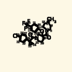 CN1CCN(C(=O)C2(Oc3ccc(C(F)(F)F)cc3)CCCN(C(=O)C3(c4ccc(Cl)cc4)CC3)C2)CC1